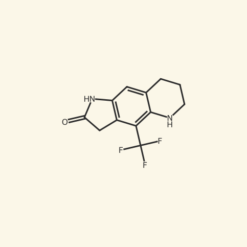 O=C1Cc2c(cc3c(c2C(F)(F)F)NCCC3)N1